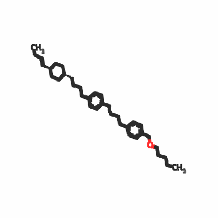 CC/C=C/[C@H]1CC[C@H](CCCCc2ccc(CCCCc3ccc(COCCCCC)cc3)cc2)CC1